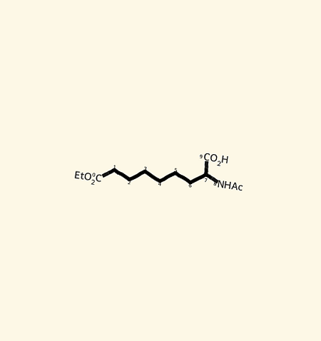 CCOC(=O)CCCCCCC(NC(C)=O)C(=O)O